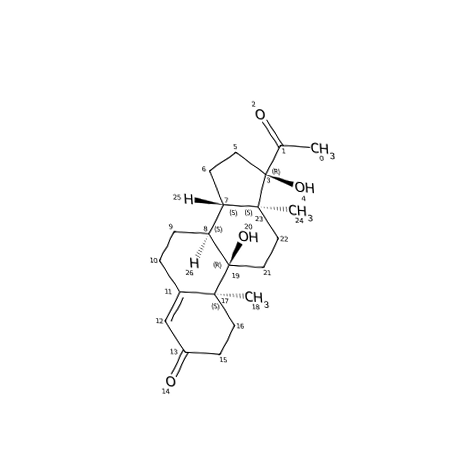 CC(=O)[C@@]1(O)CC[C@H]2[C@@H]3CCC4=CC(=O)CC[C@]4(C)[C@@]3(O)CC[C@@]21C